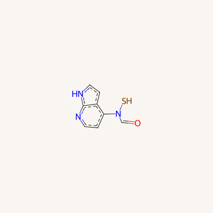 O=CN(S)c1ccnc2[nH]ccc12